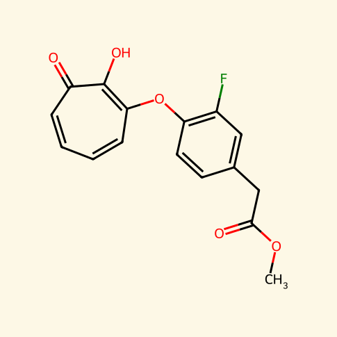 COC(=O)Cc1ccc(Oc2ccccc(=O)c2O)c(F)c1